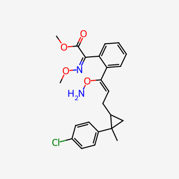 CON=C(C(=O)OC)c1ccccc1C(=CCC1CC1(C)c1ccc(Cl)cc1)ON